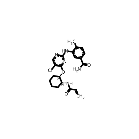 C=CC(=O)N[C@@H]1CCCC[C@H]1Oc1nc(Nc2cc(C(N)=O)ccc2C)ncc1Cl